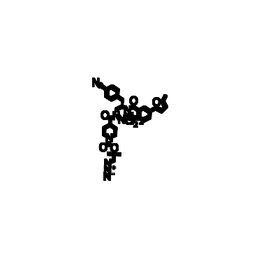 Cc1ccc(-c2ccc(Cl)c(C(=O)N(N)[C@H](Cc3ccc(C#N)cc3)CN(N)C(=O)C3CCN(C(=O)OC(C)(C)CN=[N+]=[N-])CC3)c2)o1